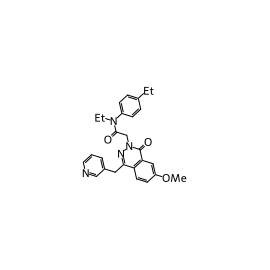 CCc1ccc(N(CC)C(=O)Cn2nc(Cc3cccnc3)c3ccc(OC)cc3c2=O)cc1